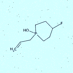 C=CC[P]1(O)CCC(F)CC1